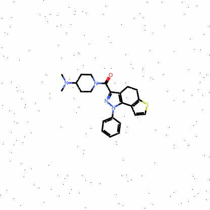 CN(C)C1CCN(C(=O)c2nn(-c3ccccc3)c3c2CCc2sccc2-3)CC1